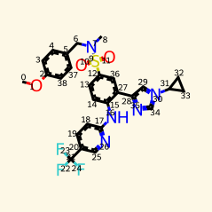 COc1ccc(CN(C)S(=O)(=O)c2ccc(Nc3ccc(C(F)(F)F)cn3)c(-c3cn(C4CC4)cn3)c2)cc1